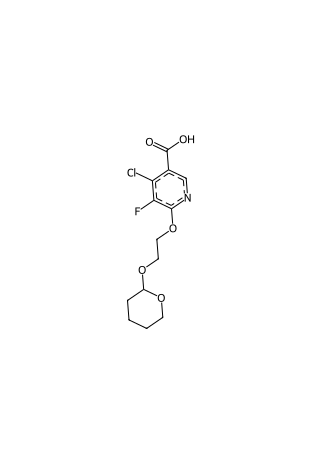 O=C(O)c1cnc(OCCOC2CCCCO2)c(F)c1Cl